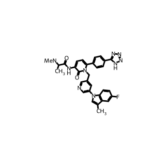 CNC(C)C(=O)Nc1ccc(-c2ccc(-c3nnn[nH]3)cc2)n(Cc2cncc(-n3cc(C)c4cc(F)ccc43)c2)c1=O